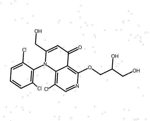 O=c1cc(CO)n(-c2c(Cl)cccc2Cl)c2c(Cl)cnc(OCC(O)CO)c12